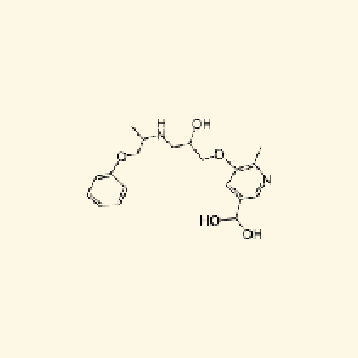 Cc1ncc(C(O)O)cc1OCC(O)CNC(C)COc1ccccc1